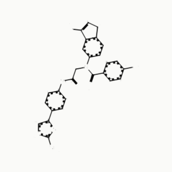 Nc1nc(-c2ccc(NC(=O)CN(C(=O)c3ccc(F)cc3)c3ccc4c(c3)C(O)=CC4)cc2)cs1